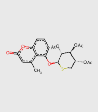 CC(=O)O[C@@H]1[C@@H](OC(C)=O)[C@H](OC(C)=O)CS[C@H]1Oc1cccc2oc(=O)cc(C)c12